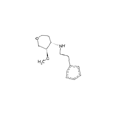 CO[C@H]1COCC[C@@H]1NCCc1ccccc1